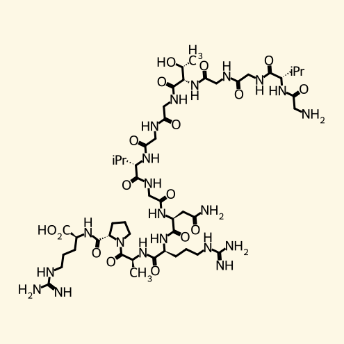 CC(C)[C@H](NC(=O)CN)C(=O)NCC(=O)NCC(=O)N[C@H](C(=O)NCC(=O)NCC(=O)N[C@H](C(=O)NCC(=O)N[C@@H](CC(N)=O)C(=O)N[C@@H](CCCNC(=N)N)C(=O)N[C@@H](C)C(=O)N1CCC[C@H]1C(=O)N[C@@H](CCCNC(=N)N)C(=O)O)C(C)C)[C@@H](C)O